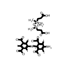 C[Si](C)(CCC(=O)O)O[Si](C)(C)CCC(=O)O.Nc1c(I)c(C(=O)Cl)c(I)c(C(=O)Cl)c1I.Nc1c(I)c(C(=O)Cl)c(I)c(C(=O)Cl)c1I